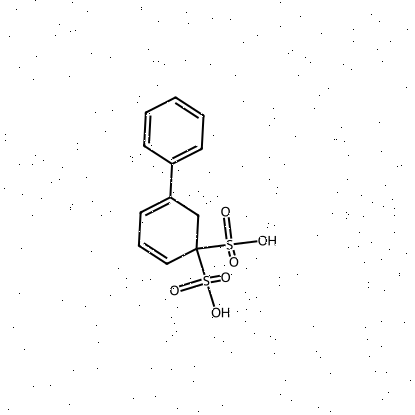 O=S(=O)(O)C1(S(=O)(=O)O)C=CC=C(c2ccccc2)C1